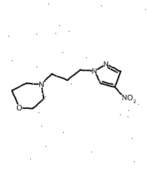 O=[N+]([O-])c1cnn(CCCN2CCOCC2)c1